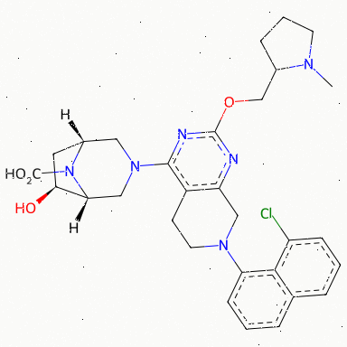 CN1CCCC1COc1nc2c(c(N3C[C@H]4C[C@H](O)[C@@H](C3)N4C(=O)O)n1)CCN(c1cccc3cccc(Cl)c13)C2